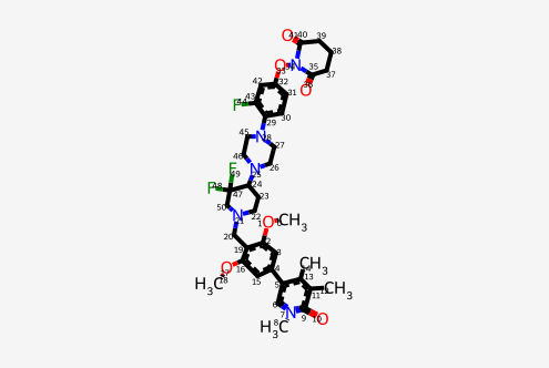 COc1cc(-c2cn(C)c(=O)c(C)c2C)cc(OC)c1CN1CCC(N2CCN(c3ccc(ON4C(=O)CCCC4=O)cc3F)CC2)C(F)(F)C1